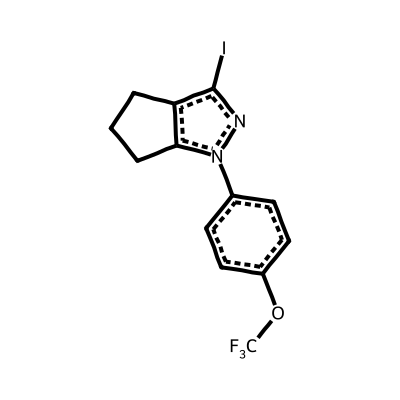 FC(F)(F)Oc1ccc(-n2nc(I)c3c2CCC3)cc1